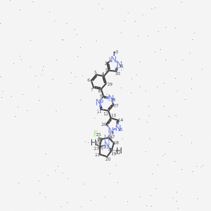 Cn1cc(-c2cccc(-c3ncc(-c4cnn([C@@H]5C[C@H]6CC[C@@H](N6)[C@H]5F)c4)cn3)c2)cn1